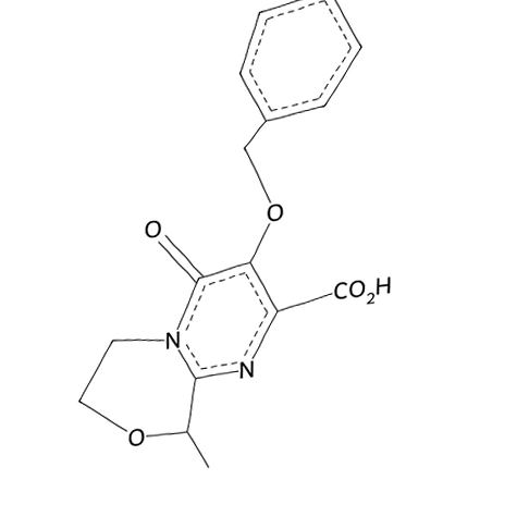 CC1OCCn2c1nc(C(=O)O)c(OCc1ccccc1)c2=O